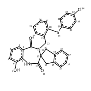 O=C1c2cccc(O)c2NC(=O)C2(Cc3ccccc3C2)N1Cc1ccccc1Sc1ccc(Cl)cc1